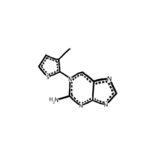 Cc1ccsc1-n1cc2ncnc-2nc1N